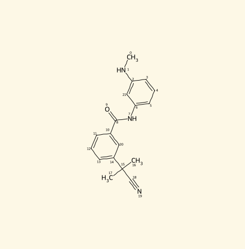 CNc1cccc(NC(=O)c2cccc(C(C)(C)C#N)c2)c1